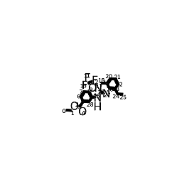 CCOC(=O)c1ccc(OC(F)(F)F)c(Nc2ncc3cccc(CC)c3n2)c1